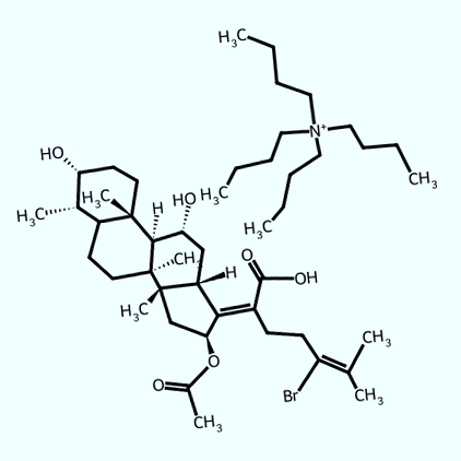 CC(=O)O[C@H]1C[C@@]2(C)[C@H](C[C@@H](O)[C@@H]3[C@@]4(C)CC[C@@H](O)[C@@H](C)C4CC[C@@]32C)C1=C(CCC(Br)=C(C)C)C(=O)O.CCCC[N+](CCCC)(CCCC)CCCC